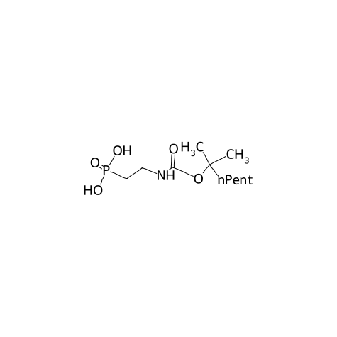 CCCCCC(C)(C)OC(=O)NCCP(=O)(O)O